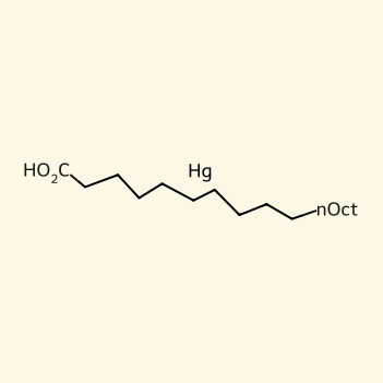 CCCCCCCCCCCCCCCCCC(=O)O.[Hg]